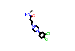 CCCNC(=O)CCCN1CCN(c2ccc(Cl)c(Cl)c2)CC1